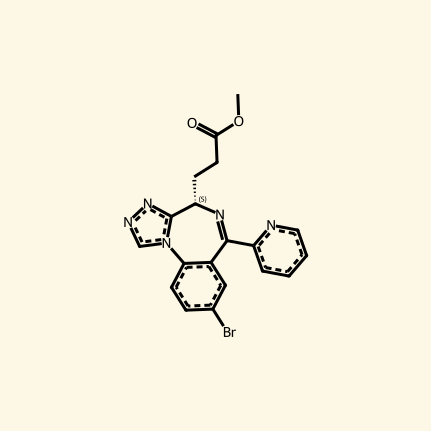 COC(=O)CC[C@@H]1N=C(c2ccccn2)c2cc(Br)ccc2-n2cnnc21